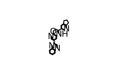 c1ccc2nc(-c3cnc4c(c3)NC(c3cnc5c(c3)CCC5)CO4)cnc2c1